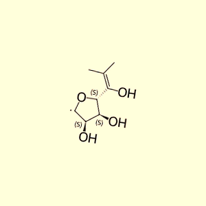 CC(C)=C(O)[C@H]1O[CH][C@H](O)[C@@H]1O